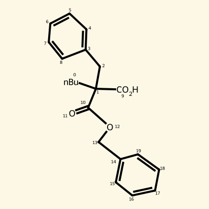 CCCCC(Cc1ccccc1)(C(=O)O)C(=O)OCc1ccccc1